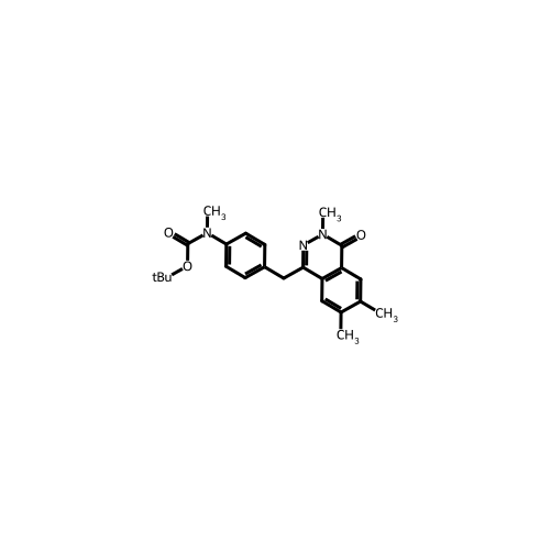 Cc1cc2c(Cc3ccc(N(C)C(=O)OC(C)(C)C)cc3)nn(C)c(=O)c2cc1C